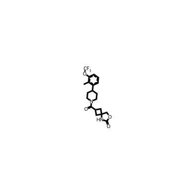 Cc1c(OC(F)(F)F)cccc1C1CCN(C(=O)C2CC3(COC(=O)N3)C2)CC1